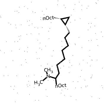 CCCCCCCCC(CCCCCCC[C@H]1C[C@H]1CCCCCCCC)N(C)C